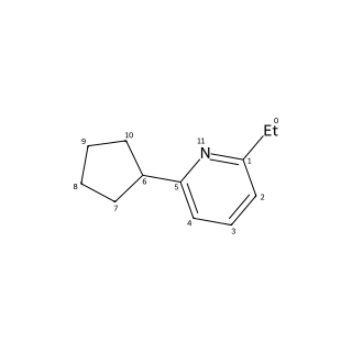 CCc1cccc(C2CCCC2)n1